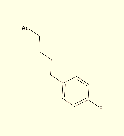 CC(=O)CCCCc1ccc(F)cc1